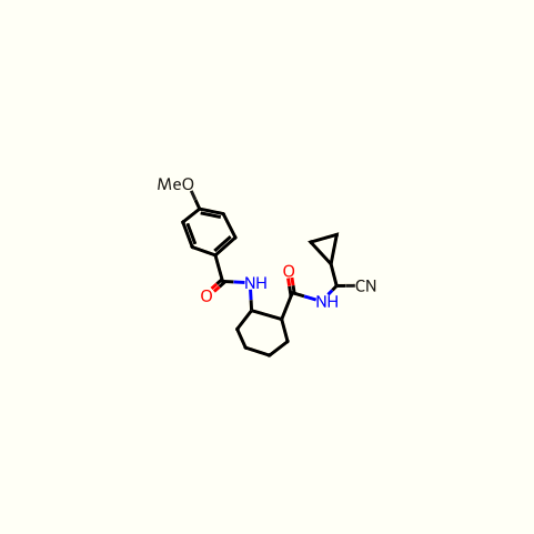 COc1ccc(C(=O)NC2CCCCC2C(=O)NC(C#N)C2CC2)cc1